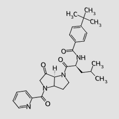 CC(C)C[C@H](NC(=O)c1ccc(C(C)(C)C)cc1)C(=O)N1CCC2[C@H]1C(=O)CN2C(=O)c1ccccn1